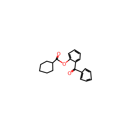 O=C(c1ccccc1)c1ccccc1OC(=O)C1CCCCC1